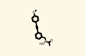 COc1ccc(C#Cc2cccc(CN(O)C(C)=O)c2)cc1